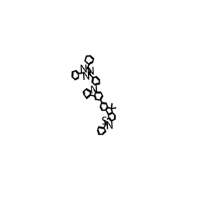 CC1(C)c2cc(-c3ccc4c(c3)c3ccccc3n4-c3cccc(-c4nc(C5=CC=CCC5)nc(-c5ccccc5)n4)c3)ccc2-c2c1ccc1nc(-c3ccccc3)sc21